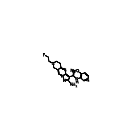 COc1ccncc1NC(=O)c1c(N)nn2cc3c(nc12)CCN(CCF)C3